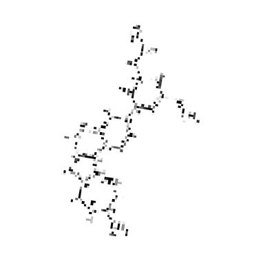 C=Cc1cc(-c2ccc3c(ccc4sc5c(c43)NC[C@@H](C)NC5)n2)nc(COC)n1